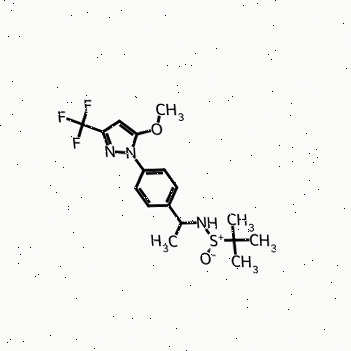 COc1cc(C(F)(F)F)nn1-c1ccc(C(C)N[S@@+]([O-])C(C)(C)C)cc1